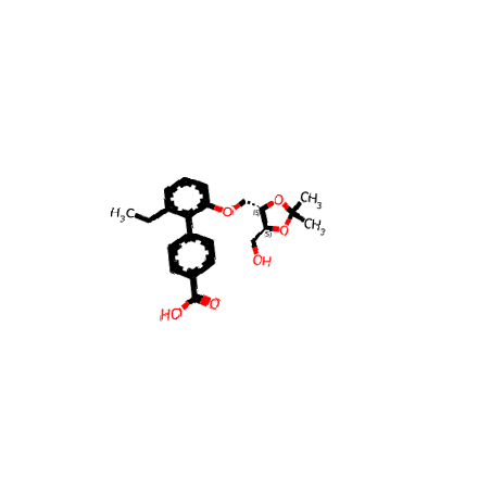 CCc1cccc(OC[C@@H]2OC(C)(C)O[C@H]2CO)c1-c1ccc(C(=O)O)cc1